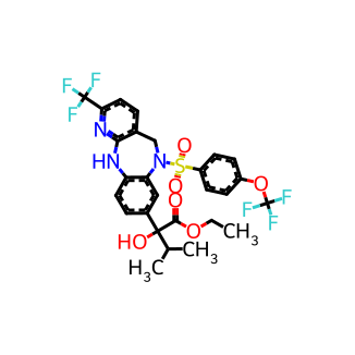 CCOC(=O)C(O)(c1ccc2c(c1)N(S(=O)(=O)c1ccc(OC(F)(F)F)cc1)Cc1ccc(C(F)(F)F)nc1N2)C(C)C